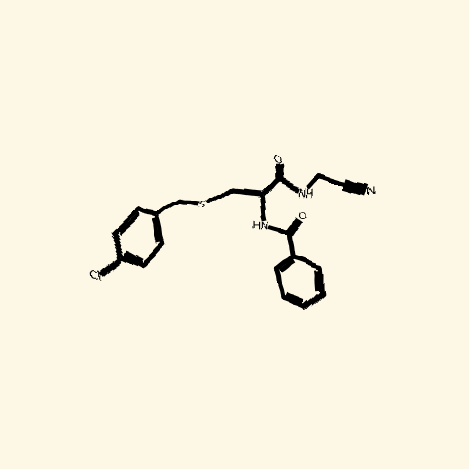 N#CCNC(=O)C(CSCc1ccc(Cl)cc1)NC(=O)c1ccccc1